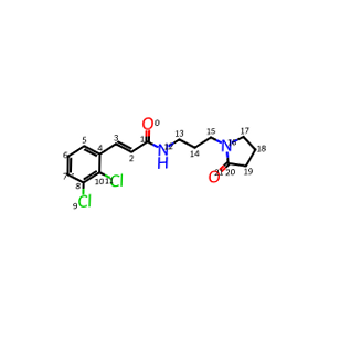 O=C(/C=C/c1cc[c]c(Cl)c1Cl)NCCCN1CCCC1=O